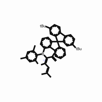 C=C(C)/C(B(c1cccc2c1-c1ccccc1C21c2cc(C(C)(C)C)ccc2-c2ccc(C(C)(C)C)cc21)c1c(C)cc(C)cc1C)=C(/C)C=C(C)C